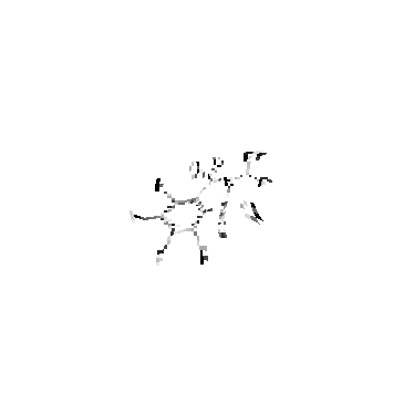 CCC(CC)N1S(=O)(=O)c2c(F)c(F)c(F)c(F)c2S1(=O)=O